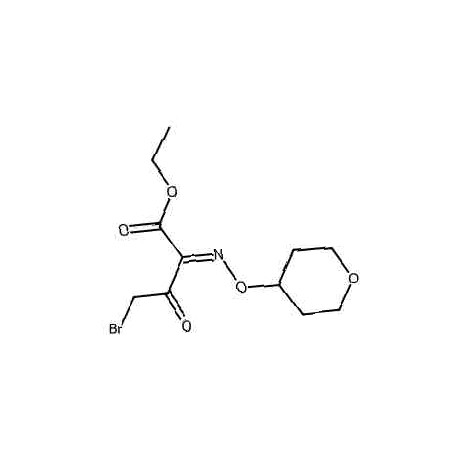 CCOC(=O)/C(=N/OC1CCOCC1)C(=O)CBr